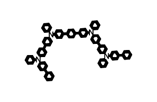 C1=CC(N(c2ccccc2)c2ccc(C3=CC=C(c4ccc(N(c5ccccc5)c5ccc(-c6ccc(N(c7ccccc7)c7ccc(-c8ccccc8)cc7)cc6)cc5)cc4)CC3)cc2)CC=C1c1ccc(N(c2ccccc2)c2ccc(-c3ccccc3)cc2)cc1